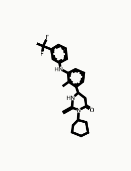 C=C1NC(c2cccc(Nc3cccc(C(C)(F)F)c3)c2C)CC(=O)N1C1CCCCC1